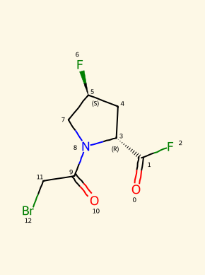 O=C(F)[C@H]1C[C@H](F)CN1C(=O)CBr